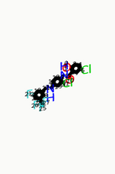 COc1ccc(Cl)cc1C(=O)Nc1ccc(NCc2cc(F)cc(C(F)(F)F)c2)cc1Cl